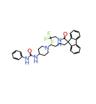 O=C(Nc1ccccc1)NC1CCN(CCCCC2(C(=O)NCC(F)(F)F)c3ccccc3-c3ccccc32)CC1